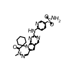 CN1N=Cc2cc3cnc(Nc4ccc(S(N)(=O)=O)cn4)nc3n2C2(CCCCC2)C1=O